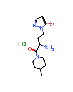 CC1CCN(C(=O)C(N)CCn2nccc2Br)CC1.Cl